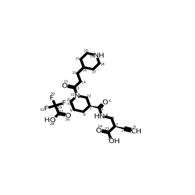 C#C[C@H](CNC(=O)[C@H]1CCCN(C(=O)CCC2CCNCC2)C1)C(=O)O.O=C(O)C(F)(F)F